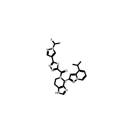 CC(C)c1cccn2nc([C@H]3c4nc[nH]c4CCN3C(=O)c3nnc(-c4cnn(C(F)F)c4)o3)cc12